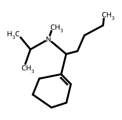 CCCCC(C1=CCCCC1)N(C)C(C)C